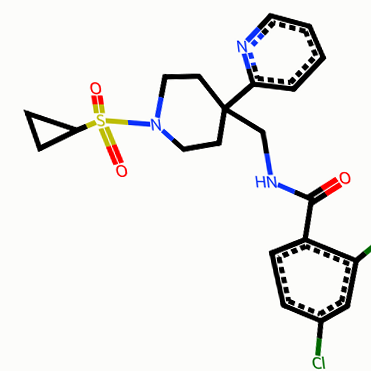 O=C(NCC1(c2ccccn2)CCN(S(=O)(=O)C2CC2)CC1)c1ccc(Cl)cc1Cl